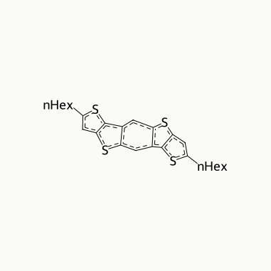 CCCCCCc1cc2sc3cc4c(cc3c2s1)sc1cc(CCCCCC)sc14